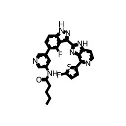 CCCCC(=O)Nc1cncc(-c2ccc3[nH]nc(-c4nc5c(-c6ccc(F)s6)nccc5[nH]4)c3c2F)c1